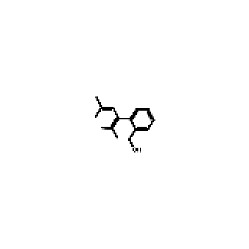 CC(C)=CC(=C(C)C)c1ccccc1CO